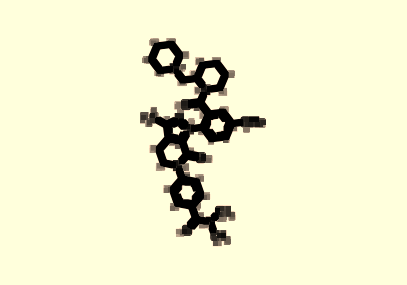 COc1ccc(-n2nc(C(F)(F)F)c3c2C(=O)N(c2ccc(C(=O)N(C)C)cc2)CC3)c(C(=O)N2CCCCC2CN2CCCCC2)c1